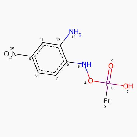 CCP(=O)(O)ONc1ccc([N+](=O)[O-])cc1N